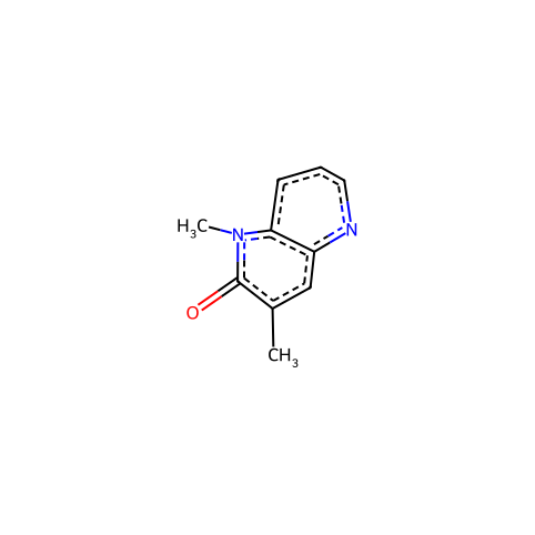 Cc1cc2ncccc2n(C)c1=O